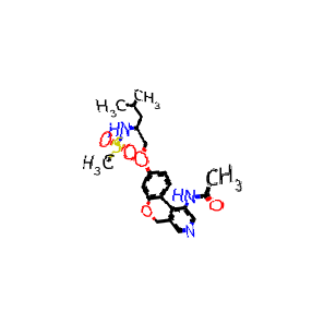 CC(=O)Nc1cncc2c1-c1ccc(OCC(CC(C)C)NS(C)(=O)=O)cc1OC2